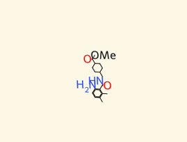 COC(=O)C1CCC(CNC(=O)c2c(N)ccc(C)c2C)CC1